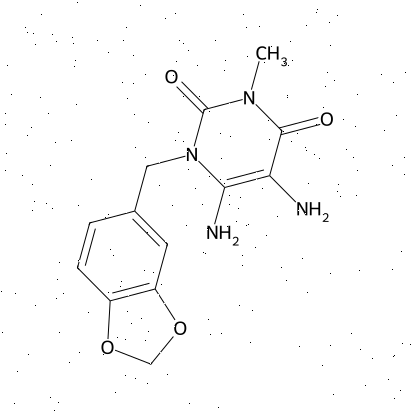 Cn1c(=O)c(N)c(N)n(Cc2ccc3c(c2)OCO3)c1=O